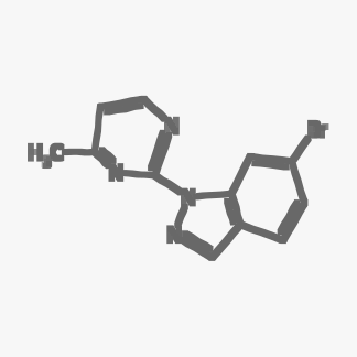 Cc1ccnc(-n2ncc3ccc(Br)cc32)n1